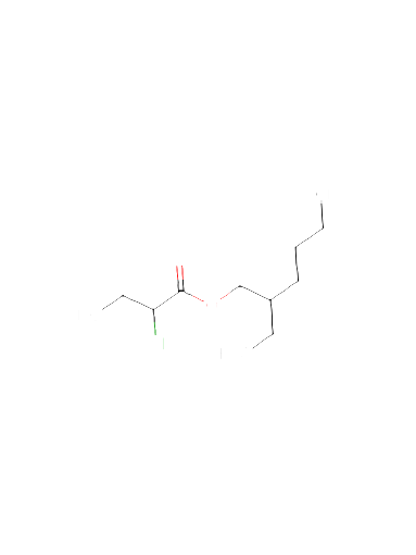 CCCCC(CC)COC(=O)C(Cl)CC